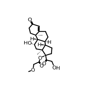 COCC(=O)O[C@]1(C(=O)CO)CC[C@H]2[C@@H]3CCC4=CC(=O)CC[C@]4(C)[C@H]3[C@@H](O)C[C@@]21C